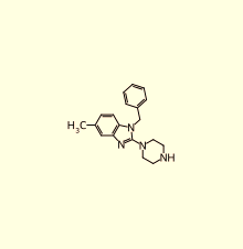 Cc1ccc2c(c1)nc(N1CCNCC1)n2Cc1ccccc1